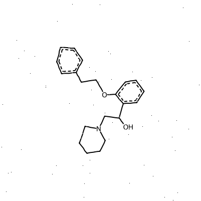 OC(CN1CCCCC1)c1ccccc1OCCc1ccccc1